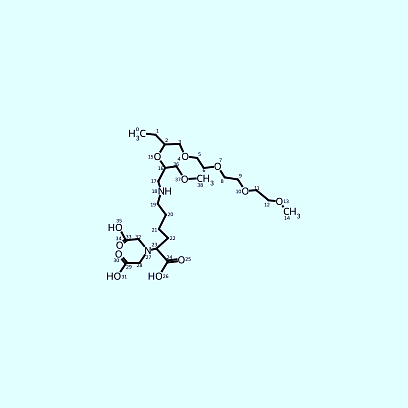 CCC(COCCOCCOCCOC)OC(CNCCCCC(C(=O)O)N(CC(=O)O)CC(=O)O)COC